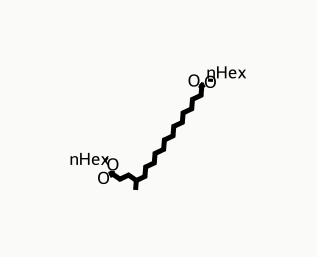 CCCCCCOC(=O)CCCCCCCCCCCCCC(C)CCC(=O)OCCCCCC